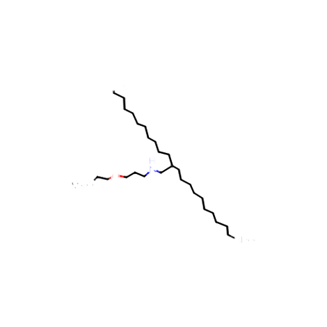 CCCCCCCCCCCCCCCCCCCCC(CCCCCCCCCCCCCCCCCCCC)CNCCCOCCOC